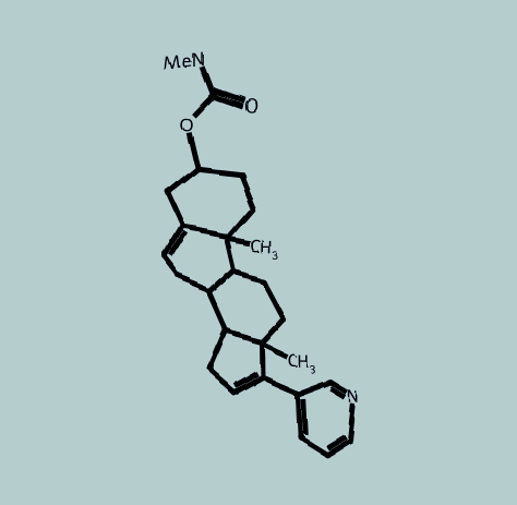 CNC(=O)OC1CCC2(C)C(=CCC3C2CCC2(C)C(c4cccnc4)=CCC32)C1